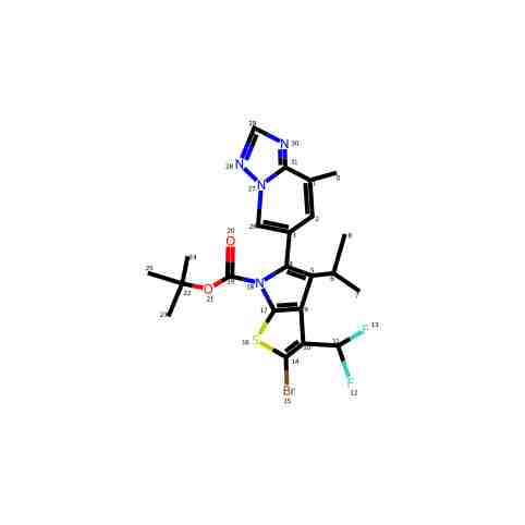 Cc1cc(-c2c(C(C)C)c3c(C(F)F)c(Br)sc3n2C(=O)OC(C)(C)C)cn2ncnc12